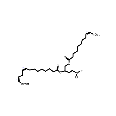 CCCCC/C=C\C/C=C\CCCCCCCC(=O)OC(CCN(CC)CC)COC(=O)CCCCCCC/C=C\CCCCCCCC